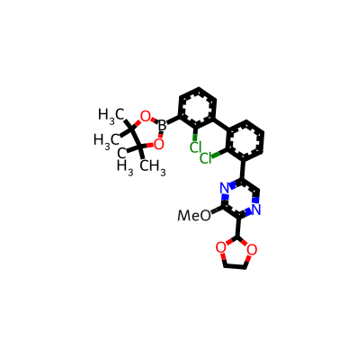 COc1nc(-c2cccc(-c3cccc(B4OC(C)(C)C(C)(C)O4)c3Cl)c2Cl)cnc1C1OCCO1